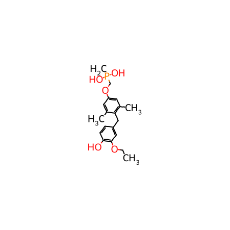 C=P(O)(O)COc1cc(C)c(Cc2ccc(O)c(OCC)c2)c(C)c1